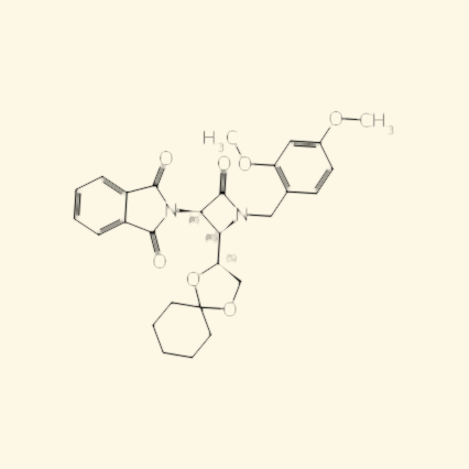 COc1ccc(CN2C(=O)[C@H](N3C(=O)c4ccccc4C3=O)[C@@H]2[C@H]2COC3(CCCCC3)O2)c(OC)c1